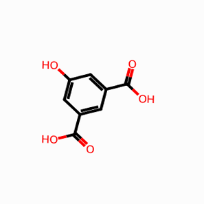 O=C(O)c1cc(O)cc(C(=O)O)c1